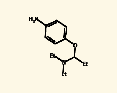 CCC(Oc1ccc(N)cc1)N(CC)CC